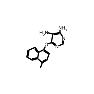 Cc1ccc(Oc2ncnc(N)c2N)c2ccccc12